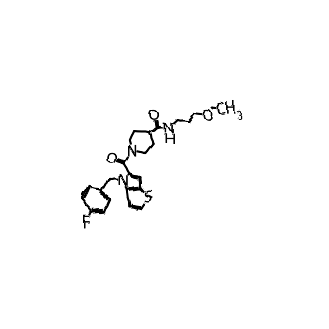 CCOCCCNC(=O)C1CCN(C(=O)c2cc3sccc3n2Cc2ccc(F)cc2)CC1